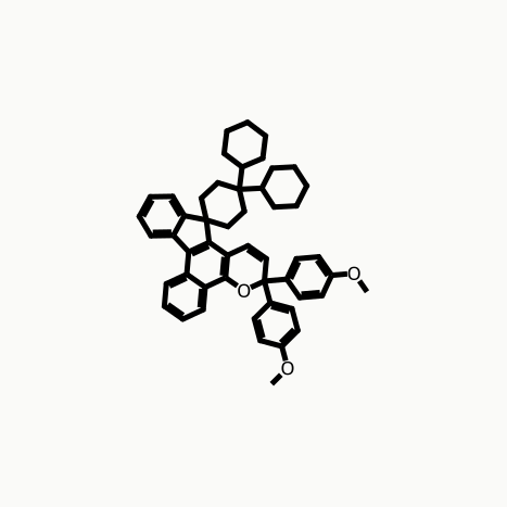 COc1ccc(C2(c3ccc(OC)cc3)C=Cc3c4c(c5ccccc5c3O2)-c2ccccc2C42CCC(C3CCCCC3)(C3CCCCC3)CC2)cc1